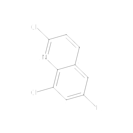 Clc1ccc2cc(I)cc(Cl)c2n1